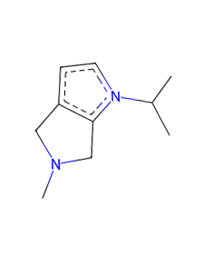 CC(C)n1ccc2c1CN(C)C2